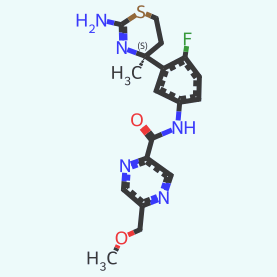 COCc1cnc(C(=O)Nc2ccc(F)c([C@]3(C)CCSC(N)=N3)c2)cn1